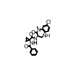 CN1C(=O)[C@H](NC(=O)C2(NC(=O)c3ccccc3)CC2)CNc2ccc(Cl)cc21